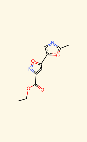 CCOC(=O)c1cc(-c2cnc(C)o2)on1